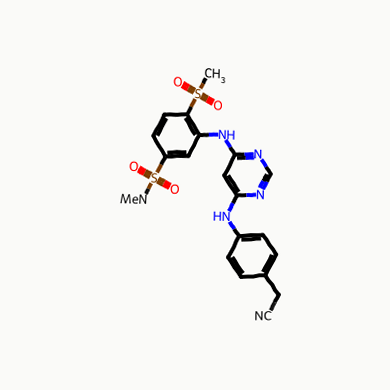 CNS(=O)(=O)c1ccc(S(C)(=O)=O)c(Nc2cc(Nc3ccc(CC#N)cc3)ncn2)c1